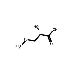 C[Se]C[C@H](O)C(=O)O